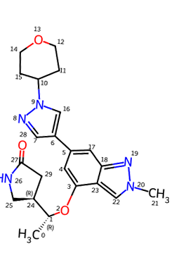 C[C@@H](Oc1cc(-c2cnn(C3CCOCC3)c2)cc2nn(C)cc12)[C@H]1CNC(=O)C1